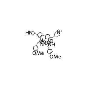 COc1ccc(CNS(=O)(=O)c2c(CC3CC[N+](C)(C)CC3)ccc(-c3ccc(C4CNC4)cc3)c2-c2nnn(Cc3ccc(OC)cc3)n2)cc1